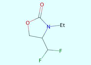 CCN1C(=O)OCC1C(F)F